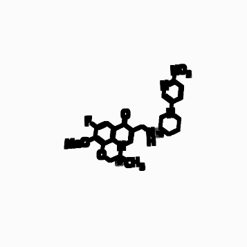 COc1c(F)cc2c(=O)c(CN[C@H]3CCCN(c4ccc([N+](=O)[O-])nc4)C3)cn3c2c1OC[C@@H]3C